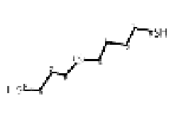 SCCCCSCCCS